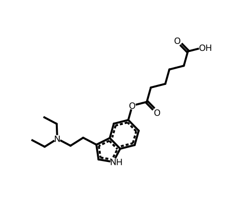 CCN(CC)CCc1c[nH]c2ccc(OC(=O)CCCCC(=O)O)cc12